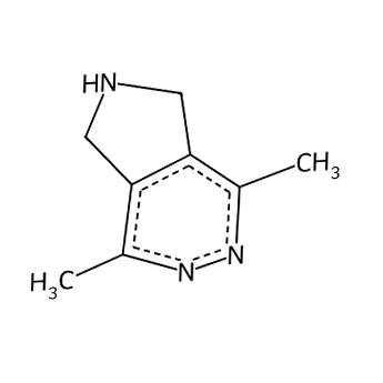 Cc1nnc(C)c2c1CNC2